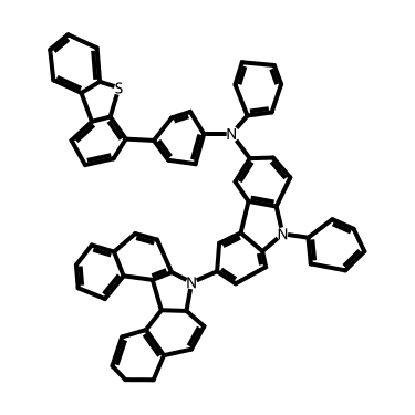 C1=CC2=C(C=CC3C2c2c(ccc4ccccc24)N3c2ccc3c(c2)c2cc(N(c4ccccc4)c4ccc(-c5cccc6c5sc5ccccc56)cc4)ccc2n3-c2ccccc2)CC1